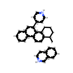 CC1CCCc2c1ccc1c2c(-c2ccncc2)cc2ccccc21.c1ccc2cnccc2c1